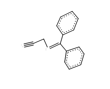 N#CC[As]=C(c1ccccc1)c1ccccc1